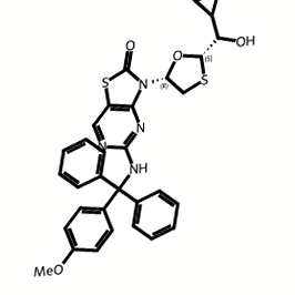 COc1ccc(C(Nc2ncc3sc(=O)n([C@H]4CS[C@@H](C(O)C5CC5)O4)c3n2)(c2ccccc2)c2ccccc2)cc1